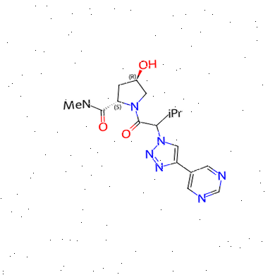 CNC(=O)[C@@H]1C[C@@H](O)CN1C(=O)C(C(C)C)n1cc(-c2cncnc2)nn1